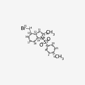 Cc1ccc(S(=O)(=O)n2c(C)cc3c(CBr)cccc32)cc1